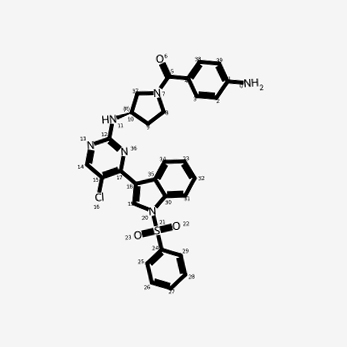 Nc1ccc(C(=O)N2CC[C@@H](Nc3ncc(Cl)c(-c4cn(S(=O)(=O)c5ccccc5)c5ccccc45)n3)C2)cc1